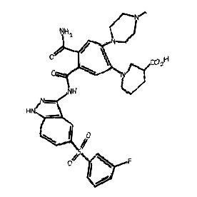 CN1CCN(c2cc(C(N)=O)c(C(=O)Nc3n[nH]c4ccc(S(=O)(=O)c5cccc(F)c5)cc34)cc2N2CCCC(C(=O)O)C2)CC1